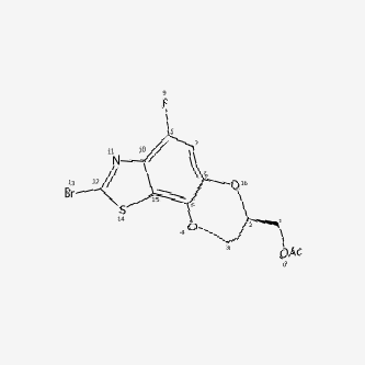 CC(=O)OC[C@H]1COc2c(cc(F)c3nc(Br)sc23)O1